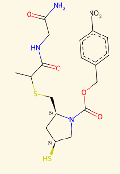 CC(SC[C@@H]1C[C@H](S)CN1C(=O)OCc1ccc([N+](=O)[O-])cc1)C(=O)NCC(N)=O